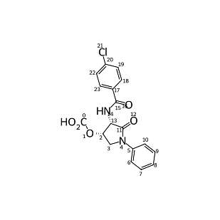 O=C(O)O[C@H]1CN(c2ccccc2)C(=O)[C@H]1NC(=O)c1ccc(Cl)cc1